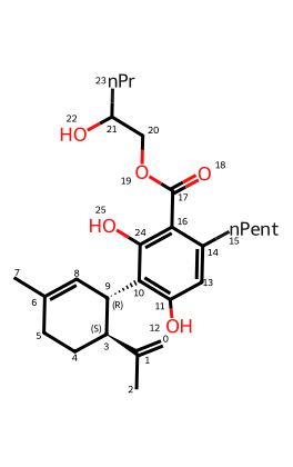 C=C(C)[C@H]1CCC(C)=C[C@@H]1c1c(O)cc(CCCCC)c(C(=O)OCC(O)CCC)c1O